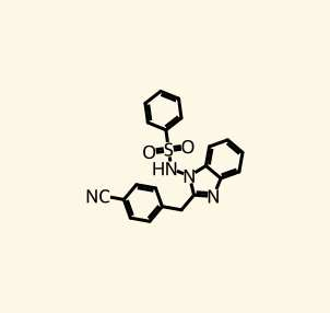 N#Cc1ccc(Cc2nc3ccccc3n2NS(=O)(=O)c2ccccc2)cc1